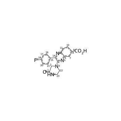 O=C1CN(c2nc3cc(C(=O)O)ccc3nc2-c2ccc(F)cc2)CCN1